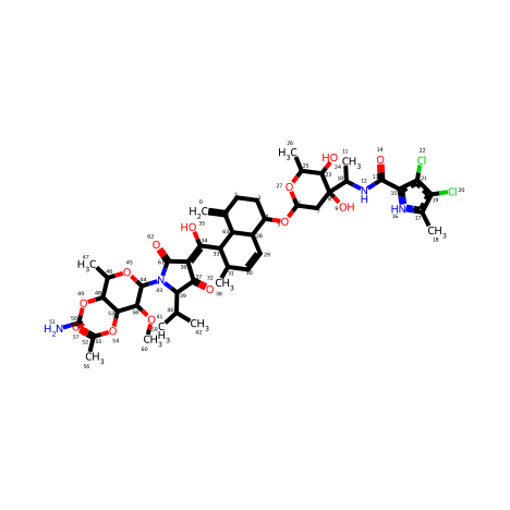 C=C1CCC(OC2CC(O)(C(C)NC(=O)c3[nH]c(C)c(Cl)c3Cl)C(O)C(C)O2)C2C=CC(C)C(/C(O)=C3\C(=O)C(C(C)C)N(C4OC(C)C(OC(N)=O)C(OC(C)=O)C4OC)C3=O)C12